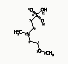 COCCN(C)CCS(=O)(=O)O